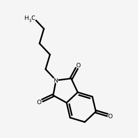 CCCCCN1C(=O)C2=CCC(=O)C=C2C1=O